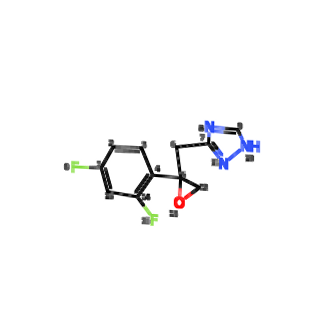 Fc1ccc(C2(Cc3nc[nH]n3)CO2)c(F)c1